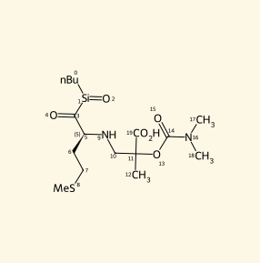 CCCC[Si](=O)C(=O)[C@H](CCSC)NCC(C)(OC(=O)N(C)C)C(=O)O